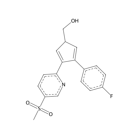 CS(=O)(=O)c1ccc(C2=CC(CO)C=C2c2ccc(F)cc2)nc1